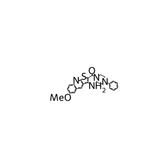 COc1ccc2nc3sc(C(=O)N4CCN(c5ccccc5)CC4)c(N)c3cc2c1